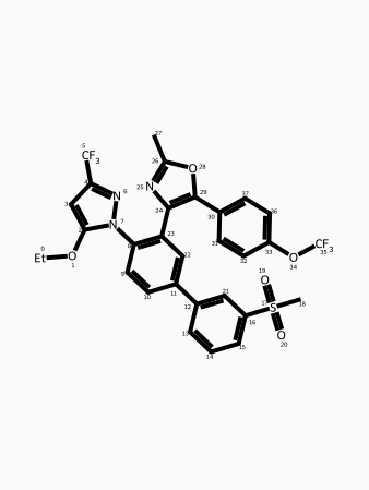 CCOc1cc(C(F)(F)F)nn1-c1ccc(-c2cccc(S(C)(=O)=O)c2)cc1-c1nc(C)oc1-c1ccc(OC(F)(F)F)cc1